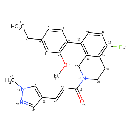 CCOc1cc(CC(=O)O)ccc1-c1ccc(F)c2c1CN(C(=O)C=Cc1cnn(C)c1)CC2